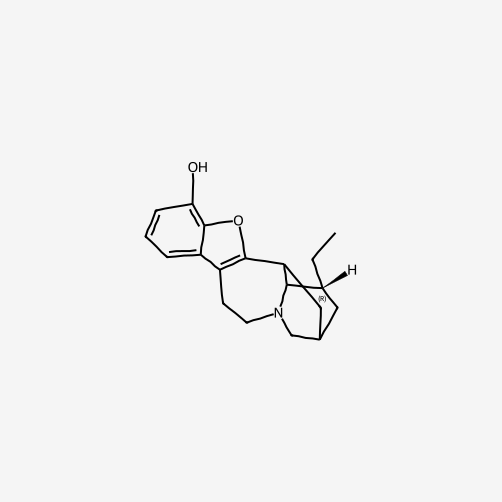 CC[C@@H]1CC2CC3c4oc5c(O)cccc5c4CCN(C2)C31